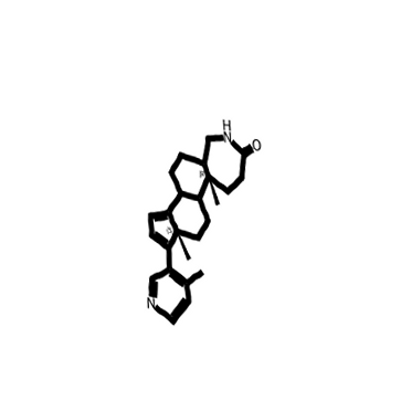 Cc1ccncc1C1=CC=C2C3CCC4CNC(=O)CC[C@]4(C)C3CC[C@]12C